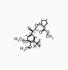 COC(=O)C1CCCN1OCC(=S)c1cc(OC)c(OC)c(C(F)(F)F)c1